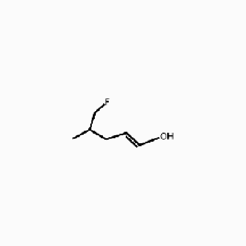 CC(CF)CC=CO